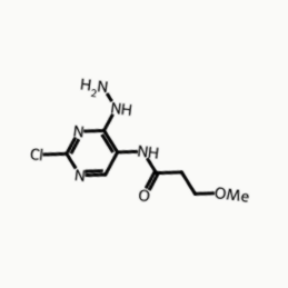 COCCC(=O)Nc1cnc(Cl)nc1NN